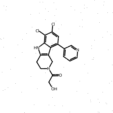 O=C(CO)N1CCc2[nH]c3c(Cl)c(Cl)cc(-c4cccnc4)c3c2C1